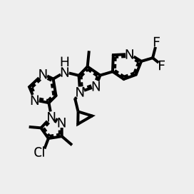 Cc1nn(-c2cc(Nc3c(C)c(-c4ccc(C(F)F)nc4)nn3CC3CC3)ncn2)c(C)c1Cl